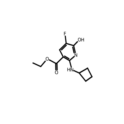 CCOC(=O)c1cc(F)c(O)nc1NC1CCC1